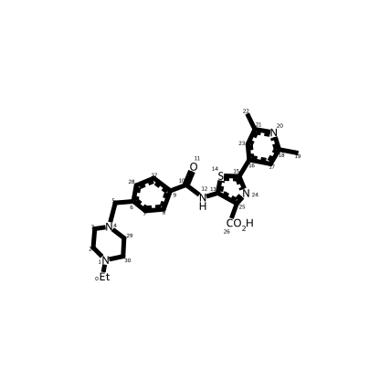 CCN1CCN(Cc2ccc(C(=O)Nc3sc(-c4cc(C)nc(C)c4)nc3C(=O)O)cc2)CC1